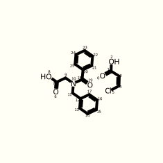 O=C(O)/C=C\Cl.O=C(O)CN(Cc1ccccc1)C(=O)c1ccccc1